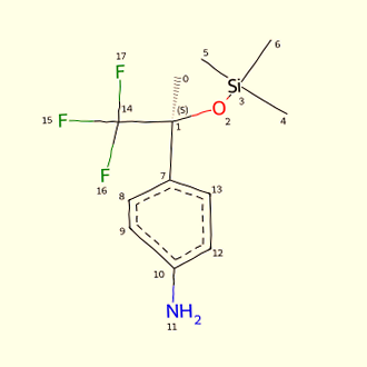 C[C@](O[Si](C)(C)C)(c1ccc(N)cc1)C(F)(F)F